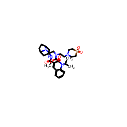 COC(=O)N(CCN1CCS(=O)(=O)CC1)CCN1C2CCC1CC(NC(=O)c1cc3ccccc3n(C(C)C)c1=O)C2